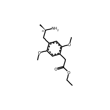 CCOC(=O)Cc1cc(OC)c(C[C@@H](C)N)cc1OC